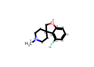 CN1CCC2(CC1)COc1cccc(F)c12